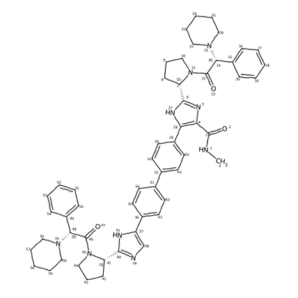 CNC(=O)c1nc([C@@H]2CCCN2C(=O)[C@@H](c2ccccc2)N2CCCCC2)[nH]c1-c1ccc(-c2ccc(-c3cnc([C@@H]4CCCN4C(=O)[C@@H](c4ccccc4)N4CCCCC4)[nH]3)cc2)cc1